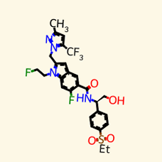 CCS(=O)(=O)c1ccc([C@H](CO)NC(=O)c2cc3cc(Cn4nc(C)cc4C(F)(F)F)n(CCF)c3cc2F)cc1